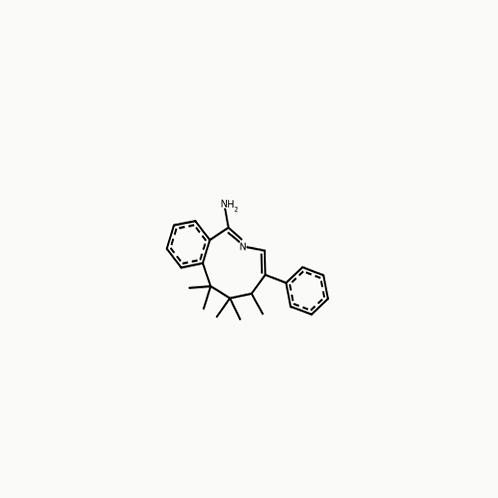 CC1/C(c2ccccc2)=C\N=C(/N)c2ccccc2C(C)(C)C1(C)C